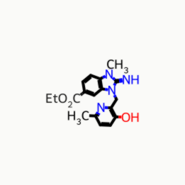 CCOC(=O)c1ccc2c(c1)n(Cc1nc(C)ccc1O)c(=N)n2C